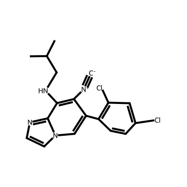 [C-]#[N+]c1c(-c2ccc(Cl)cc2Cl)cn2ccnc2c1NCC(C)C